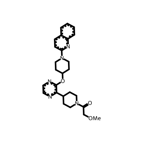 COCC(=O)N1CCC(c2nccnc2OC2CCN(c3ccc4ccccc4n3)CC2)CC1